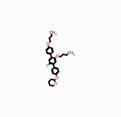 CCCCOc1ccc(-c2cc(F)c(-c3ccc(OC4CCCCO4)cc3)cc2OCCCC)cc1